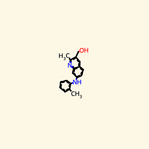 Cc1ccccc1Nc1ccc2cc(CO)c(C)nc2c1